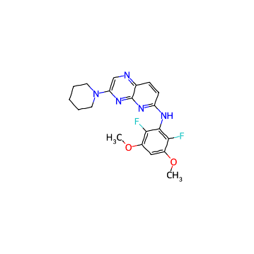 COc1cc(OC)c(F)c(Nc2ccc3ncc(N4CCCCC4)nc3n2)c1F